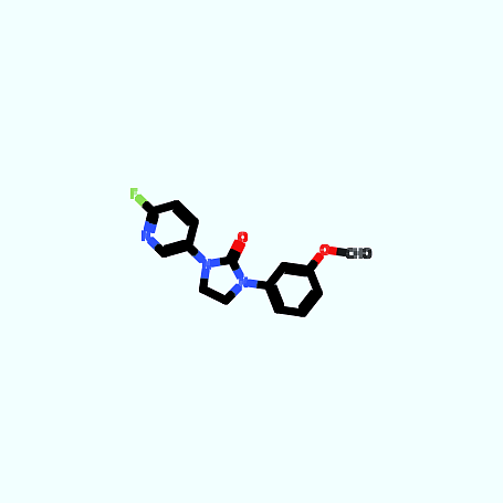 O=COc1cccc(N2CCN(c3ccc(F)nc3)C2=O)c1